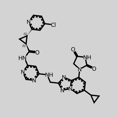 O=C1CN(c2cc(C3CC3)cn3nc(CNc4cc(NC(=O)[C@H]5C[C@@H]5c5cc(Cl)ccn5)ncn4)nc23)C(=O)N1